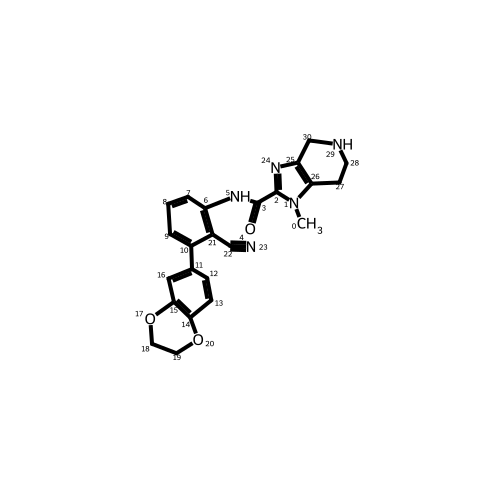 Cn1c(C(=O)Nc2cccc(-c3ccc4c(c3)OCCO4)c2C#N)nc2c1CCNC2